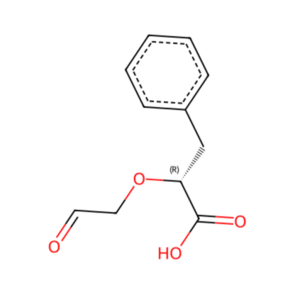 O=CCO[C@H](Cc1ccccc1)C(=O)O